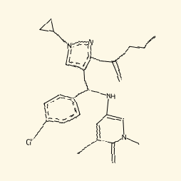 C=C(CCC)c1nn(C2CC2)cc1C(NC1=CN(C)C(=C)C(C)=C1)c1ccc(Cl)cc1